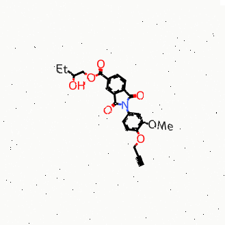 C#CCOc1ccc(N2C(=O)c3ccc(C(=O)OCC(O)CC)cc3C2=O)cc1OC